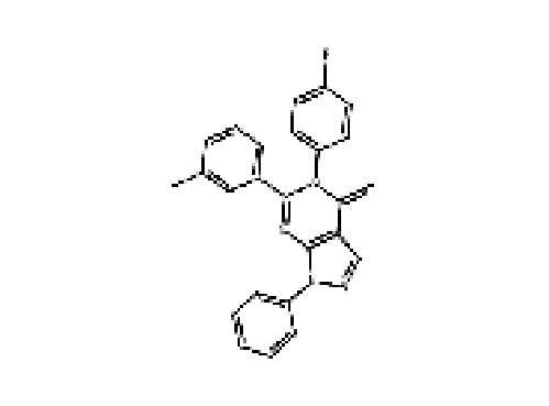 Cc1cccc(-c2nc3c(cnn3-c3ccccc3)c(=O)n2-c2ccc(F)cc2)c1